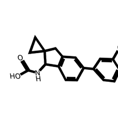 O=C(O)NC1c2ccc(-c3cccc(Cl)c3)cc2CC12CC2